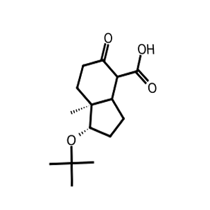 CC(C)(C)O[C@H]1CCC2C(C(=O)O)C(=O)CC[C@@]21C